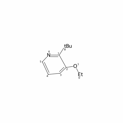 CCOc1cccnc1C(C)(C)C